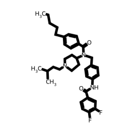 CCCCCc1ccc(C(=O)N(Cc2ccc(NC(=O)c3ccc(F)c(F)c3)cc2)C2CCN(CCC(C)C)CC2)cc1